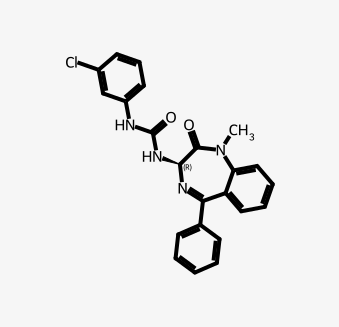 CN1C(=O)[C@H](NC(=O)Nc2cccc(Cl)c2)N=C(c2ccccc2)c2ccccc21